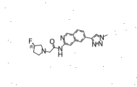 Cn1cc(-c2ccc3cnc(NC(=O)CN4CC[C@@H](F)C4)cc3c2)nn1